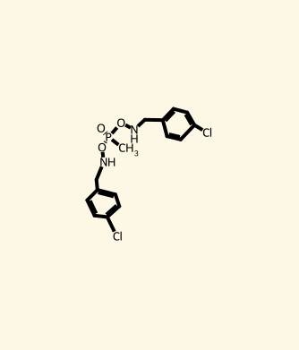 CP(=O)(ONCc1ccc(Cl)cc1)ONCc1ccc(Cl)cc1